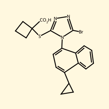 O=C(O)C1(Sc2nnc(Br)n2-c2ccc(C3CC3)c3ccccc23)CCC1